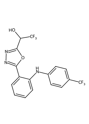 OC(c1nnc(-c2ccccc2Nc2ccc(C(F)(F)F)cc2)o1)C(F)(F)F